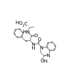 C[C@H](NC(=O)[C@H](Cc1ccccc1)NC(=O)N1CC(O)=Nc2ccccc21)C(=O)O